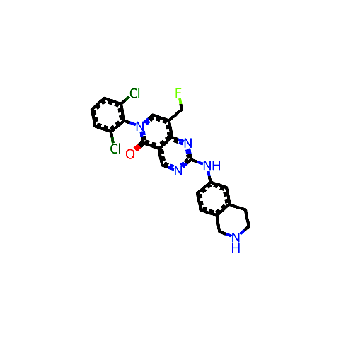 O=c1c2cnc(Nc3ccc4c(c3)CCNC4)nc2c(CF)cn1-c1c(Cl)cccc1Cl